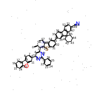 C=C/C(c1cc(-c2ccc3c(c2)oc2ccccc23)nc(-c2ccccc2)n1)=c1/sc2ccc(-c3ccc4c(c3)C3(CCCCC3)c3cc(C#N)ccc3-4)cc2/c1=C/C